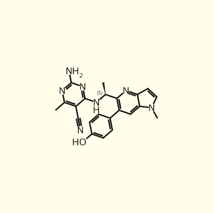 Cc1nc(N)nc(N[C@@H](C)c2nc3ccn(C)c3cc2-c2ccc(O)cc2)c1C#N